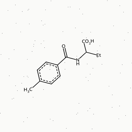 CCC(NC(=O)c1ccc(C)cc1)C(=O)O